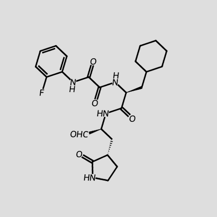 O=C[C@H](C[C@@H]1CCNC1=O)NC(=O)[C@H](CC1CCCCC1)NC(=O)C(=O)Nc1ccccc1F